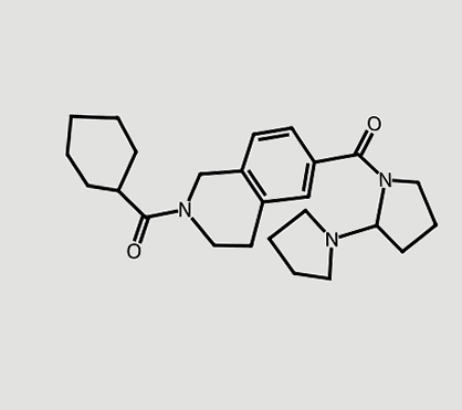 O=C(C1CCCCC1)N1CCc2cc(C(=O)N3CCCC3N3CCCC3)ccc2C1